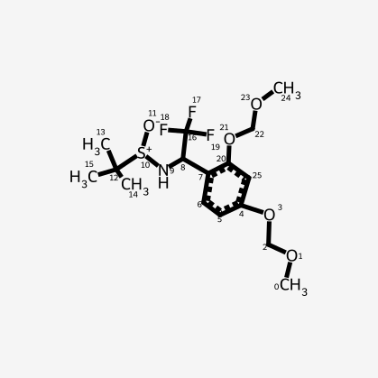 COCOc1ccc(C(N[S+]([O-])C(C)(C)C)C(F)(F)F)c(OCOC)c1